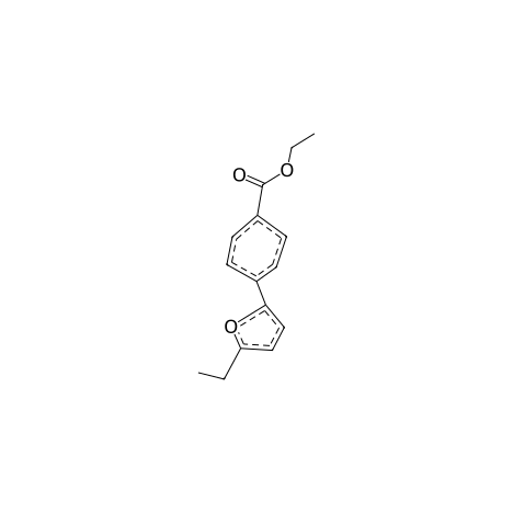 CCOC(=O)c1ccc(-c2ccc(CC)o2)cc1